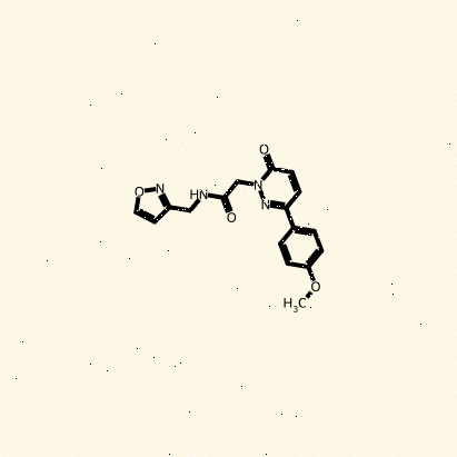 COc1ccc(-c2ccc(=O)n(CC(=O)NCc3ccon3)n2)cc1